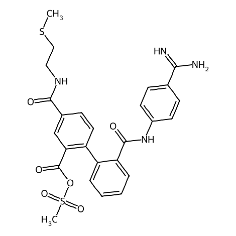 CSCCNC(=O)c1ccc(-c2ccccc2C(=O)Nc2ccc(C(=N)N)cc2)c(C(=O)OS(C)(=O)=O)c1